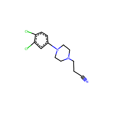 N#CCCN1CCN(c2ccc(Cl)c(Cl)c2)CC1